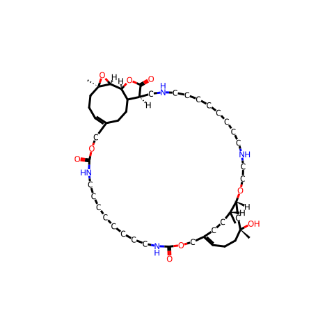 C[C@@H]1CC/C2=C\CC[C@@](C)(O)C[C@H]1OCCNCCCCCCCCNC[C@@H]1C(=O)O[C@H]3C1CC/C(=C\CC[C@@]1(C)O[C@@H]31)COC(=O)NCCCCCCCCNC(=O)OC2